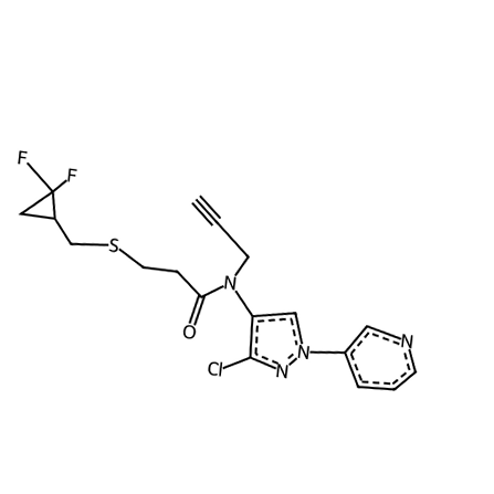 C#CCN(C(=O)CCSCC1CC1(F)F)c1cn(-c2cccnc2)nc1Cl